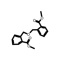 COC(=O)c1ccccc1COCc1ccccc1C(=O)OC